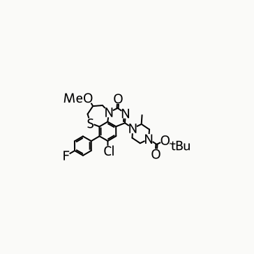 COC1CSc2c(-c3ccc(F)cc3)c(Cl)cc3c(N4CCN(C(=O)OC(C)(C)C)CC4C)nc(=O)n(c23)C1